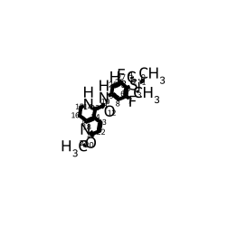 CC[Si](C)(C)c1c(F)cc(NC(=O)C2NCCc3nc(OC)ccc32)cc1F